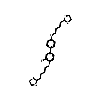 Fc1cc(-c2ccc(OCCCCC3OCCO3)cc2)ccc1OCCCCC1OCCO1